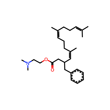 CC(C)=CCCC(C)=CCCC(C)=CC(CC(=O)OCCN(C)C)Cc1ccccc1